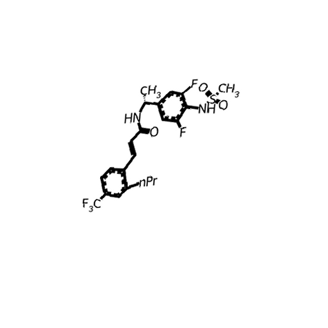 CCCc1cc(C(F)(F)F)ccc1/C=C/C(=O)N[C@H](C)c1cc(F)c(NS(C)(=O)=O)c(F)c1